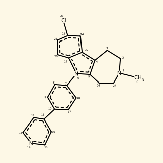 CN1CCc2c(n(-c3ccc(-c4ccncc4)cc3)c3ccc(Cl)cc23)CC1